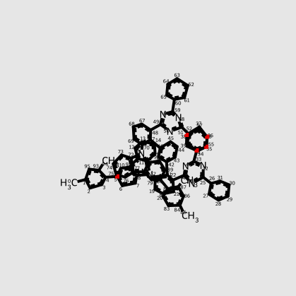 Cc1ccc(-c2ccc3c(c2)c2ccccc2n3-c2cccc(-c3nc(-c4ccccc4)nc(-c4ccccc4)n3)c2-c2cccc(-c3c(-c4nc(-c5ccccc5)nc(-c5ccccc5)n4)cccc3-n3c4ccccc4c4cc(-c5ccc(C)cc5C)ccc43)c2)c(C)c1